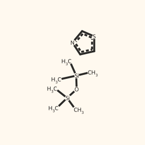 C[Si](C)(C)O[Si](C)(C)C.c1cscn1